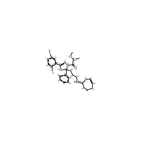 CO[C@@H](C)C(=O)N1N=C(c2cc(F)ccc2F)OC1(CCCNC1CC=CCCC1)c1ccccc1